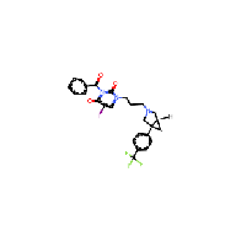 O=C(c1ccccc1)n1c(=O)c(I)cn(CCCN2C[C@@H]3C[C@]3(c3ccc(C(F)(F)F)cc3)C2)c1=O